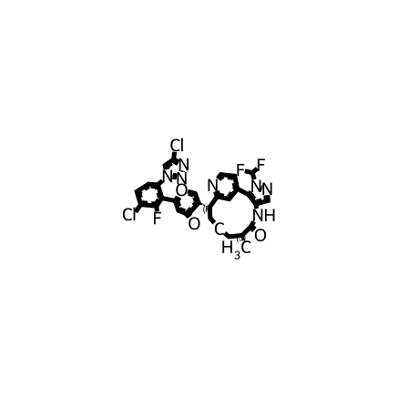 C[C@H]1CCC[C@H](c2coc(-c3c(-n4cc(Cl)nn4)ccc(Cl)c3F)cc2=O)c2cc(ccn2)-c2c(cnn2C(F)F)NC1=O